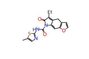 CCC1=C2Cc3ccoc3C=C2N(C(=O)Nc2ncc(C)s2)C1=O